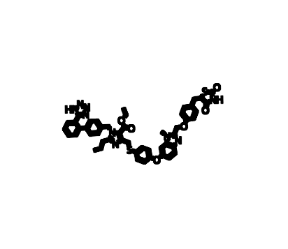 CCCc1nc(CSc2ccc(Oc3ccc4nc(COc5ccc(CC6SC(=O)NC6=O)cc5)n(C)c4c3)cc2)c(C(=O)OCC)n1Cc1ccc(-c2ccccc2-c2nnn[nH]2)cc1